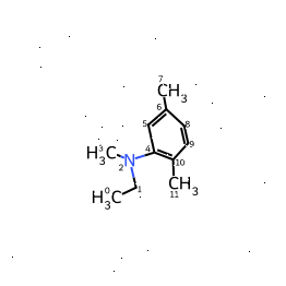 CCN(C)c1cc(C)ccc1C